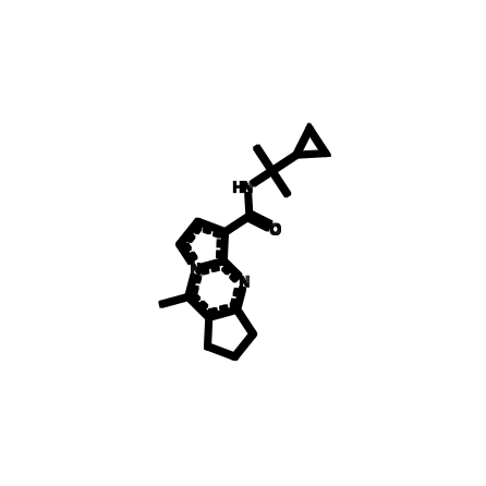 Cc1c2c(nc3c(C(=O)NC(C)(C)C4CC4)ccn13)CCC2